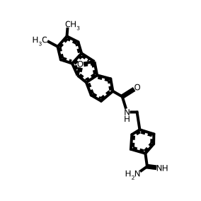 Cc1cc2c(cc1C)c1oc2c2ccc(C(=O)NCc3ccc(C(=N)N)cc3)cc21